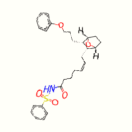 O=C(CCC/C=C\C[C@@H]1[C@H](CCCOc2ccccc2)[C@@H]2CC[C@H]1O2)NS(=O)(=O)c1ccccc1